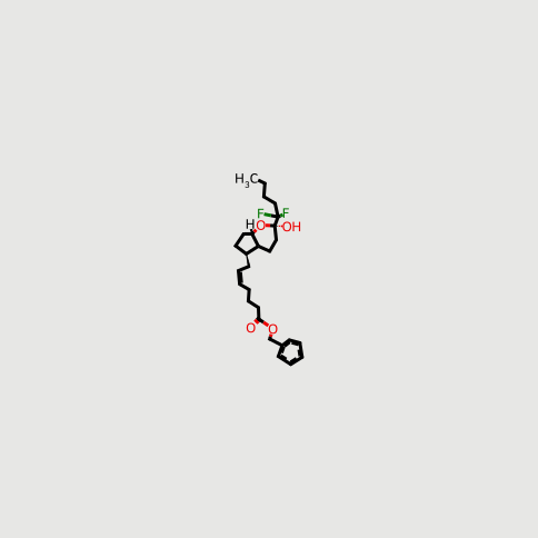 CCCCC(F)(F)[C@@]1(O)CCC2[C@@H](C/C=C\CCCC(=O)OCc3ccccc3)CC[C@@H]2O1